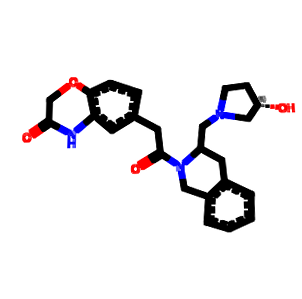 O=C1COc2ccc(CC(=O)N3Cc4ccccc4CC3CN3CC[C@H](O)C3)cc2N1